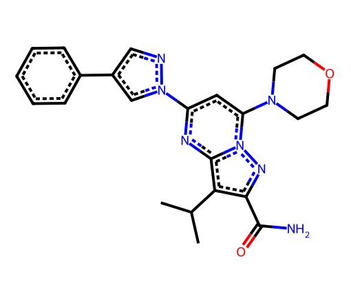 CC(C)c1c(C(N)=O)nn2c(N3CCOCC3)cc(-n3cc(-c4ccccc4)cn3)nc12